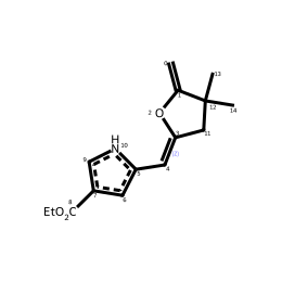 C=C1O/C(=C\c2cc(C(=O)OCC)c[nH]2)CC1(C)C